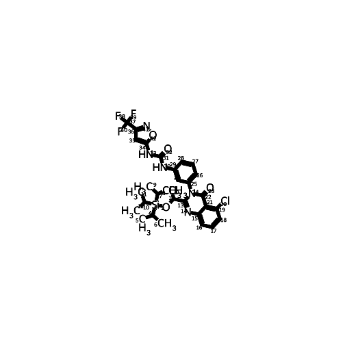 CC(O[Si](C(C)C)(C(C)C)C(C)C)c1nc2cccc(Cl)c2c(=O)n1-c1cccc(NC(=O)Nc2cc(C(F)(F)F)no2)c1